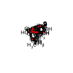 CN[C@H](CC(C)C)C(=O)N[C@H]1C(=O)N[C@@H](C)C(=O)N[C@H]2C(=O)N[C@H]3C(=O)N[C@H](C(=O)N[C@H](C(=O)NC4CCC5CCCC4C5)c4cc(O)cc(O)c4-c4cc3ccc4O)[C@H](O)c3ccc(c(Cl)c3)Oc3cc2cc(c3O[C@@H]2O[C@H](CO)[C@@H](O)[C@H](O)[C@H]2O[C@H]2C[C@](C)(N)[C@H](O)[C@H](C)O2)Oc2ccc(cc2C)[C@H]1O